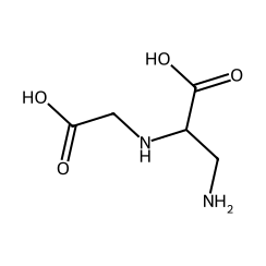 NCC(NCC(=O)O)C(=O)O